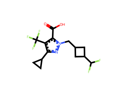 O=C(O)c1c(C(F)(F)F)c(C2CC2)nn1CC1CC(C(F)F)C1